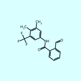 Cc1cc(NC(=O)c2ccccc2C=O)cc(C(F)(F)F)c1C